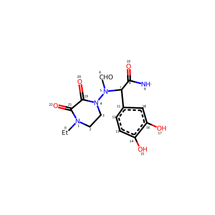 CCN1CCN(N(C=O)C(C([NH])=O)c2ccc(O)c(O)c2)C(=O)C1=O